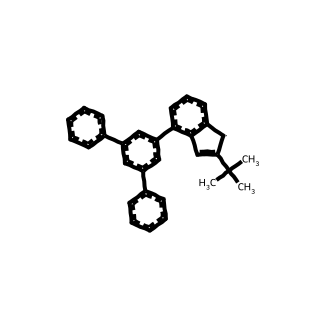 CC(C)(C)C1=Cc2c(cccc2-c2cc(-c3ccccc3)cc(-c3ccccc3)c2)[CH]1